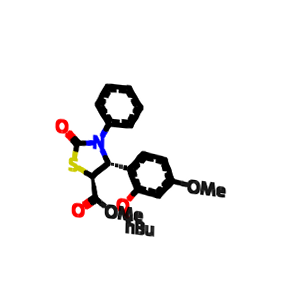 CCCCOc1cc(OC)ccc1[C@@H]1[C@@H](C(=O)OC)SC(=O)N1c1ccccc1